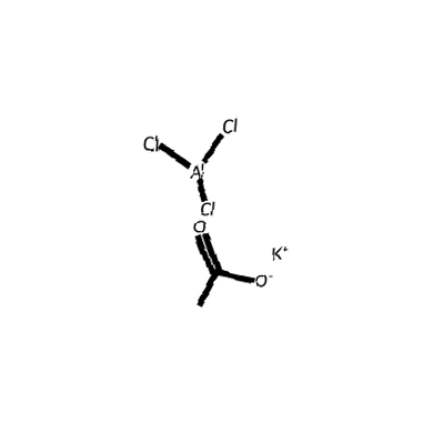 CC(=O)[O-].[Cl][Al]([Cl])[Cl].[K+]